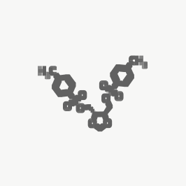 Cc1ccc(S(=O)(=O)OC[C@H]2OCO[C@@H]2COS(=O)(=O)c2ccc(C)cc2)cc1